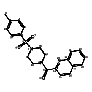 Cc1ccc(S(=O)(=O)N2CCN(C(=O)c3ccc4ccccc4n3)CC2)cc1